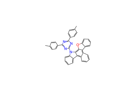 Cc1ccc(-c2nc(-c3ccc(C)cc3)nc(-n3c4ccccc4c4c5ccccc5c5c6ccccc6oc5c43)n2)cc1